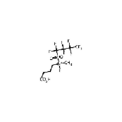 C[N+](F)(CCCC(=O)O)S(=O)(=O)C(F)(F)C(F)(F)C(F)(F)C(F)(F)F